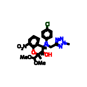 COC(OC)C1(C)Oc2c(cccc2[N+](=O)[O-])[C@@H](N(Cc2nnn(C)n2)c2ccc(Cl)cc2)[C@@H]1O